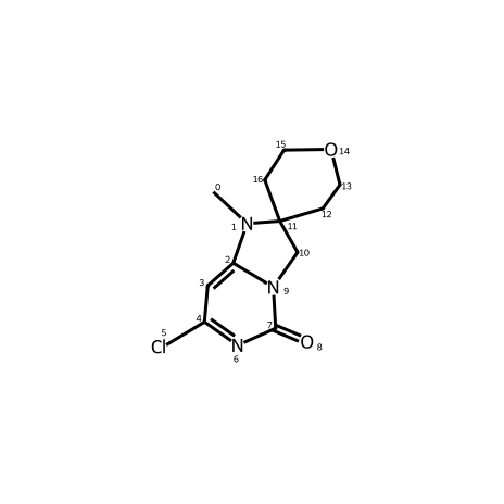 CN1c2cc(Cl)nc(=O)n2CC12CCOCC2